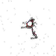 CNC(=O)[C@H]1CC[C@H](CN2C(=O)CC(SCCOCCC(=O)O[C@H]3CC(=O)N(C)c4cc(cc(OC)c4Cl)C/C(C)=C/C=C/[C@@H](OC)[C@@]4(O)C[C@H](OC(=O)N4)[C@@H](C)[C@@H]4OC34C)C2=O)CC1